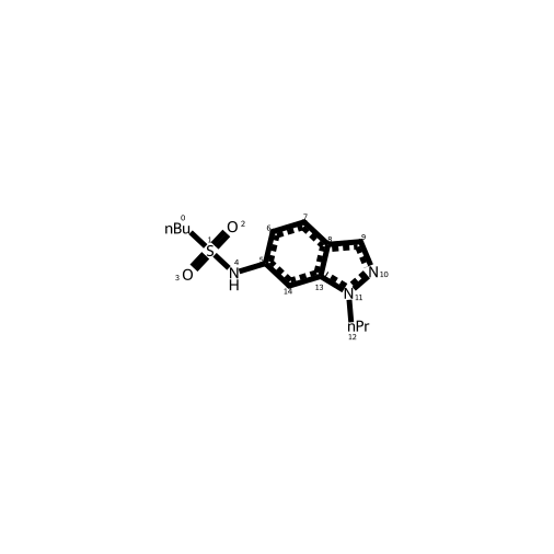 CCCCS(=O)(=O)Nc1ccc2cnn(CCC)c2c1